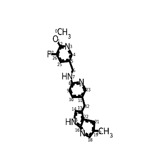 COc1ncc(CNc2ccc(Cc3c[nH]c4ncc(C)cc34)cn2)cc1F